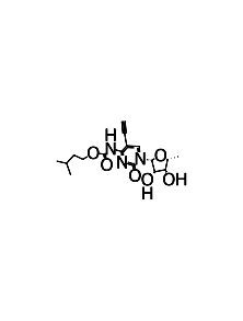 C#Cc1cn([C@@H]2O[C@H](C)[C@@H](O)[C@H]2O)c(=O)nc1NC(=O)OCCC(C)C